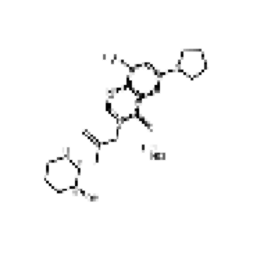 Cc1cc(N2CCCC2)cc2c(=O)n(CC(=O)C[C@H]3NCCC[C@@H]3O)cnc12.Cl.Cl